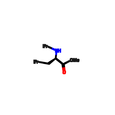 COC(=O)[C@@H](CC(C)C)NC(C)C